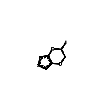 IC1COc2cscc2O1